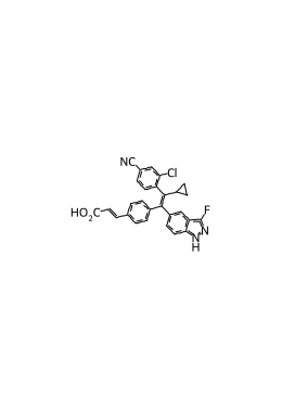 N#Cc1ccc(C(=C(c2ccc(C=CC(=O)O)cc2)c2ccc3[nH]nc(F)c3c2)C2CC2)c(Cl)c1